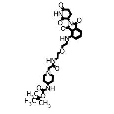 CC(C)(C)OC(=O)NC1CCN(CC(=O)NCCOCCNc2cccc3c2C(=O)N(C2CCC(=O)NC2=O)C3=O)CC1